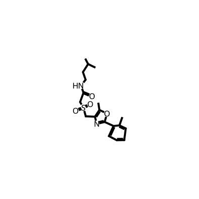 Cc1ccccc1-c1nc(CS(=O)(=O)CC(=O)NCCC(C)C)c(C)o1